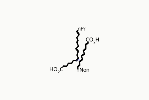 CCCC=CCC=CCC=CC/C=C\CCCCCC(=O)O.CCCCCCCCCC=CC=CC=CC=CC=CC(=O)O